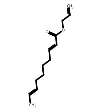 C=CCOC(=O)/C=C/CCCC/C=C/C